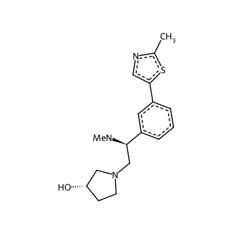 CN[C@H](CN1CC[C@H](O)C1)c1cccc(-c2cnc(C)s2)c1